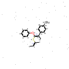 C/C=C(/C)S/C(Oc1ccccc1)=C(\C)c1ccc(C(C)(C)C)cc1